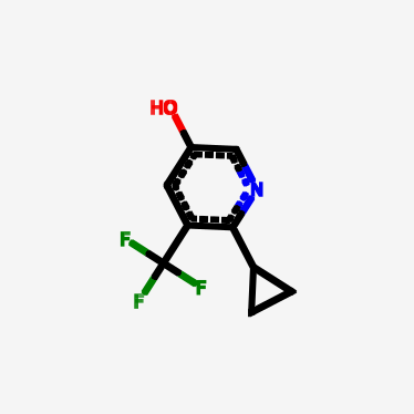 Oc1cnc(C2CC2)c(C(F)(F)F)c1